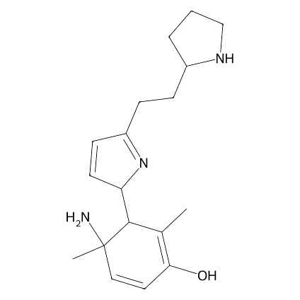 CC1=C(O)C=CC(C)(N)C1C1C=CC(CCC2CCCN2)=N1